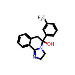 OC1(c2cccc(C(F)(F)F)c2)Cc2ccccc2C2=NCCN21